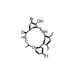 CCc1ccc2c(c1)-c1cc(c(F)cc1F)NSc1cc(cc(Br)c1O)C(=O)N(C)CC(C)O2